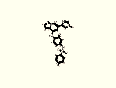 Cn1cnc(-c2cc(Oc3ccc(NS(=O)(=O)c4ccc(F)cc4)cc3F)c3ccnn3c2)c1